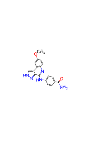 COc1ccc2nc(Nc3ccc(C(N)=O)cc3)c3n[nH]cc3c2c1